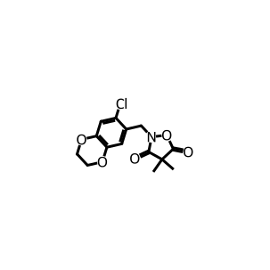 CC1(C)C(=O)ON(Cc2cc3c(cc2Cl)OCCO3)C1=O